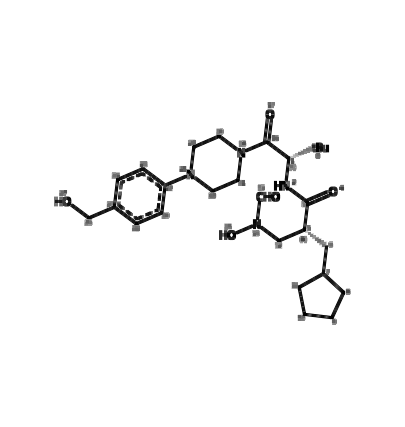 CC(C)(C)[C@H](NC(=O)[C@H](CC1CCCC1)CN(O)C=O)C(=O)N1CCN(c2ccc(CO)cc2)CC1